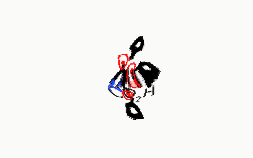 O=C(O)N1C=CC(OCc2ccccc2)[C@H](OCc2ccccc2)[C@H]1COCc1ccccc1